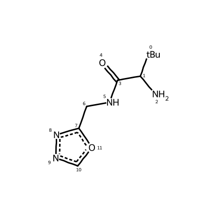 CC(C)(C)C(N)C(=O)NCc1nnco1